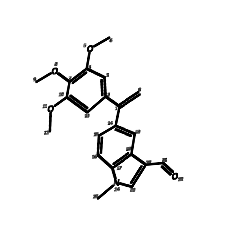 C=C(c1cc(OC)c(OC)c(OC)c1)c1ccc2c(c1)c(C=O)cn2C